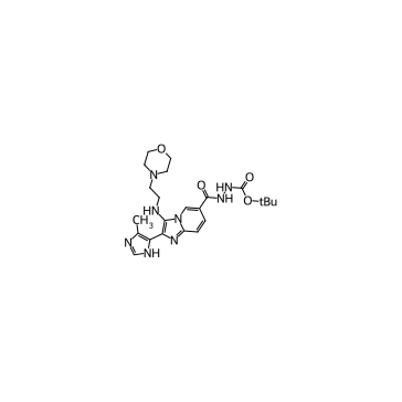 Cc1nc[nH]c1-c1nc2ccc(C(=O)NNC(=O)OC(C)(C)C)cn2c1NCCN1CCOCC1